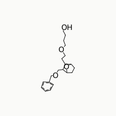 OCCCCOCCC1C2CCC(O2)C1COCc1ccccc1